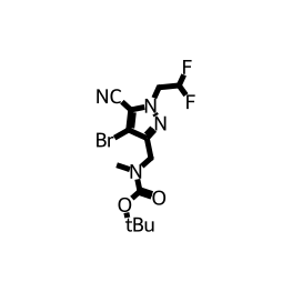 CN(Cc1nn(CC(F)F)c(C#N)c1Br)C(=O)OC(C)(C)C